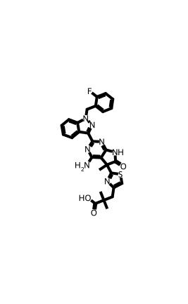 CC(C)(Cc1csc(C2(C)C(=O)Nc3nc(-c4nn(Cc5ccccc5F)c5ccccc45)nc(N)c32)n1)C(=O)O